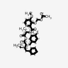 CC[C@H](Cc1ccccc1)[C@@H](Cc1ccc(F)cc1)[C@H](C)OC(=O)[C@H](C)NC(=O)c1nccc(OC)c1OCOC(C)=O